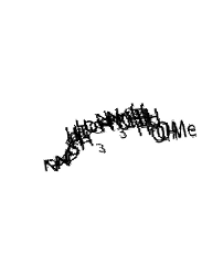 COC[C@@]1(O)CC[C@H]2[C@H](CC[C@@H]3[C@@H]2CC[C@]2(C)[C@@H](C(=O)Cn4cc5ncc(COC[C@@]6(O)CC[C@H]7[C@H](CC[C@@H]8[C@@H]7CC[C@]7(C)[C@@H](C(=O)Cn9ncc%10ncccc%109)CC[C@@H]87)C6)cc5n4)CC[C@@H]32)C1